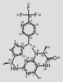 Cc1nc(N[C@@H](C)c2cnn(Cc3ccc(C(F)(F)F)nc3)c2)nc2c1NC(=O)[C@H](C)N2C